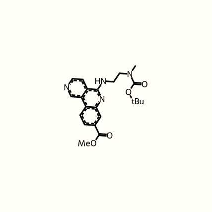 COC(=O)c1ccc2c(c1)nc(NCCN(C)C(=O)OC(C)(C)C)c1ccncc12